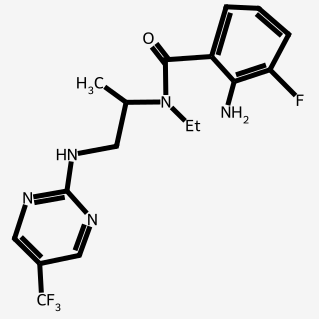 CCN(C(=O)c1cccc(F)c1N)C(C)CNc1ncc(C(F)(F)F)cn1